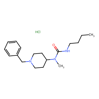 CCCCNC(=O)N(C)C1CCN(Cc2ccccc2)CC1.Cl